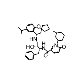 CC1CCCC(n2cc(C(=O)N[C@@H](Cc3ccccc3)[C@H](O)CN[C@H]3CC4(CCCC4)Oc4ccc(C(C)C)cc43)ccc2=O)C1